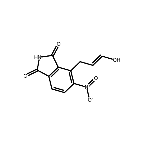 O=C1NC(=O)c2c1ccc([N+](=O)[O-])c2CC=CO